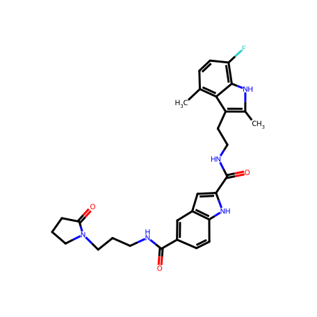 Cc1[nH]c2c(F)ccc(C)c2c1CCNC(=O)c1cc2cc(C(=O)NCCCN3CCCC3=O)ccc2[nH]1